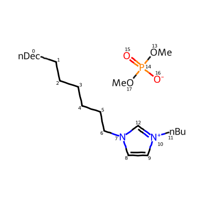 CCCCCCCCCCCCCCCCn1cc[n+](CCCC)c1.COP(=O)([O-])OC